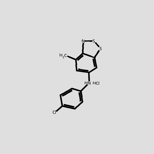 Cc1cc(Nc2ccc(Cl)cc2)cc2c1[N]SS2.Cl